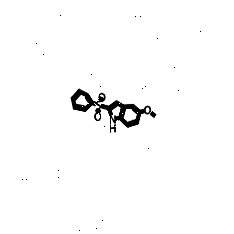 COc1ccc2[nH]c(S(=O)(=O)c3ccccc3)cc2c1